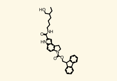 CCC(CO)CCCCNC(=O)c1cc2c3c(ccc2[nH]1)N(C(=O)OCC1c2ccccc2-c2ccccc21)CC3